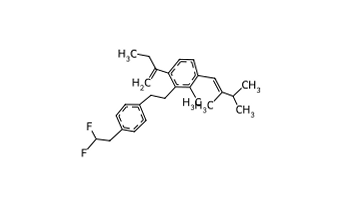 C=C(CC)c1ccc(/C=C(\C)C(C)C)c(C)c1CCc1ccc(CC(F)F)cc1